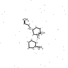 C=CCO[C@@H]1CCCN(C[C@H]2CCCC[C@@H]2N)C1.Cl